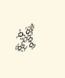 Cn1nc(NS(C)(=O)=O)c2c(Cl)ccc(-n3c([C@H](Cc4cc(F)cc(F)c4)NC(=O)Cn4nc(C(F)F)c5c4C(F)(F)[C@@H]4C[C@H]54)nc4nc(-c5ccc6scnc6c5)ccc4c3=O)c21